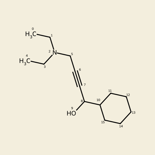 CCN(CC)CC#CC(O)C1CCCCC1